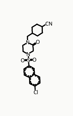 N#CC1CCC(CN2CCN(S(=O)(=O)c3ccc4cc(Cl)ccc4c3)CC2=O)CC1